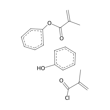 C=C(C)C(=O)Cl.C=C(C)C(=O)Oc1ccccc1.Oc1ccccc1